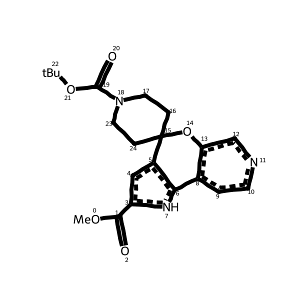 COC(=O)c1cc2c([nH]1)-c1ccncc1OC21CCN(C(=O)OC(C)(C)C)CC1